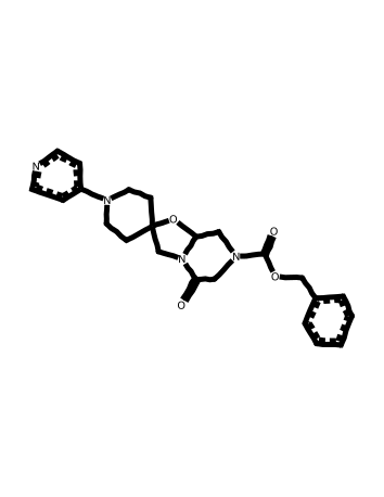 O=C(OCc1ccccc1)N1CC(=O)N2CC3(CCN(c4ccncc4)CC3)OC2C1